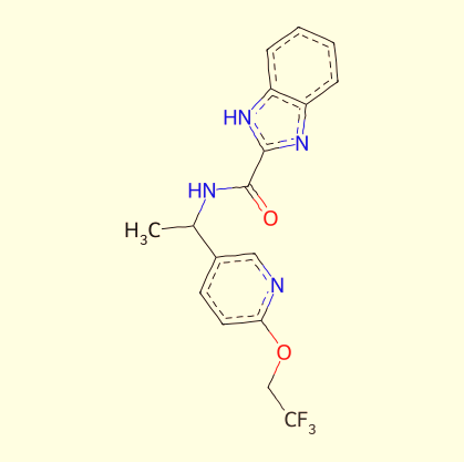 CC(NC(=O)c1nc2ccccc2[nH]1)c1ccc(OCC(F)(F)F)nc1